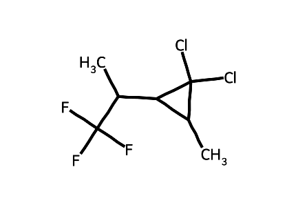 CC(C1C(C)C1(Cl)Cl)C(F)(F)F